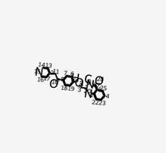 Cn1c(COc2ccc(C(=O)Cc3ccncc3)cc2)nc2ccccc2c1=O